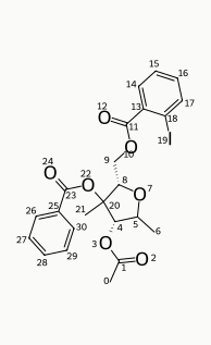 CC(=O)O[C@H]1C(C)O[C@@H](COC(=O)c2ccccc2I)C1(C)OC(=O)c1ccccc1